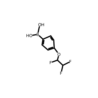 OB(O)c1ccc(OC(F)C(F)F)cc1